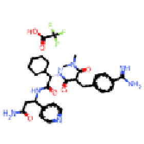 CN(C)C(=O)C(Cc1ccc(C(=N)N)cc1)C(=O)N[C@H](C(=O)NC(CC(N)=O)c1ccncc1)C1CCCCC1.O=C(O)C(F)(F)F